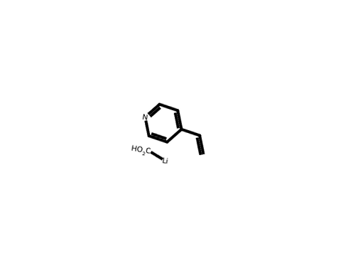 C=Cc1ccncc1.[Li][C](=O)O